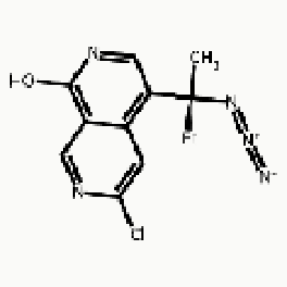 CC[C@@](C)(N=[N+]=[N-])c1cnc(O)c2cnc(Cl)cc12